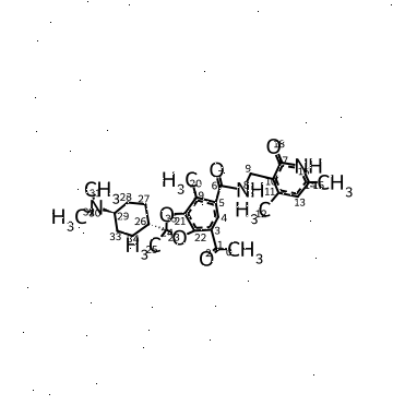 CC(=O)c1cc(C(=O)NCc2c(C)cc(C)[nH]c2=O)c(C)c2c1OC(C)([C@H]1CC[C@H](N(C)C)CC1)O2